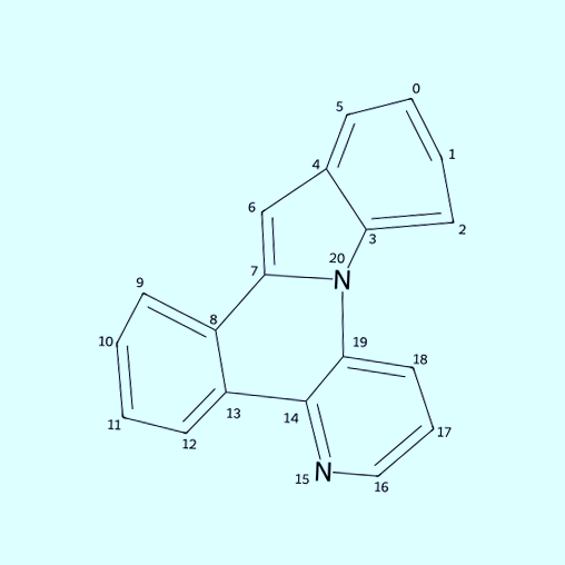 c1ccc2c(c1)cc1c3ccccc3c3ncccc3n21